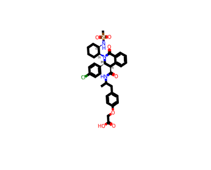 CC(Cc1ccc(OCC(=O)O)cc1)NC(=O)[C@@H]1c2ccccc2C(=O)N([C@H]2CCCC[C@@H]2NS(C)(=O)=O)[C@H]1c1ccc(Cl)cc1